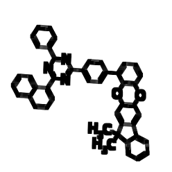 CC1(C)c2ccccc2-c2cc3c(cc21)Oc1c(cccc1-c1ccc(-c2nc(-c4ccccc4)nc(-c4cccc5ccccc45)n2)cc1)O3